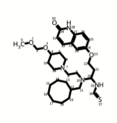 COCOC1CCN(CCN(CC2CCCCCCC2)C(CCOc2ccc3[nH]c(=O)ccc3c2)NC=S)CC1